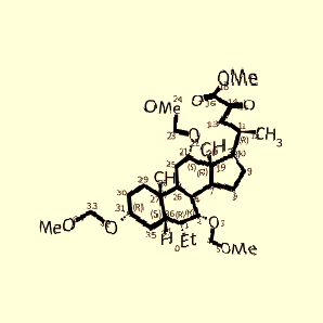 CC[C@H]1[C@@H](OCOC)C2C3CC[C@H]([C@H](C)CC(=O)C(=O)OC)[C@@]3(C)[C@@H](OCOC)CC2[C@@]2(C)CC[C@@H](OCOC)C[C@@H]12